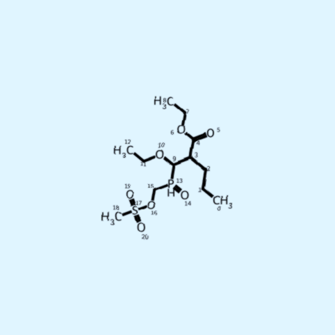 CCCC(C(=O)OCC)C(OCC)[PH](=O)COS(C)(=O)=O